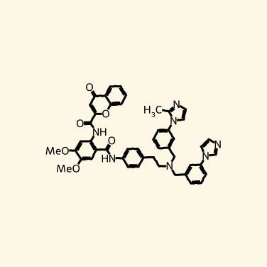 COc1cc(NC(=O)c2cc(=O)c3ccccc3o2)c(C(=O)Nc2ccc(CCN(Cc3cccc(-n4ccnc4)c3)Cc3cccc(-n4ccnc4C)c3)cc2)cc1OC